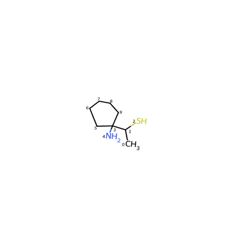 CC(S)C1(N)CCCCC1